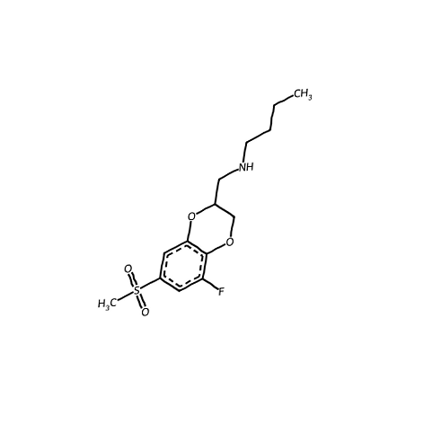 CCCCNCC1COc2c(F)cc(S(C)(=O)=O)cc2O1